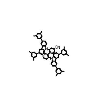 Cc1cc(C)cc(-c2ccc3c(c2)c2cc(-c4cc(C)cc(C)c4)ccc2n3-c2ccncc2-c2ccc(C#N)cc2-n2c3ccc(-c4cc(C)cc(C)c4)cc3c3cc(-c4cc(C)cc(C)c4)ccc32)c1